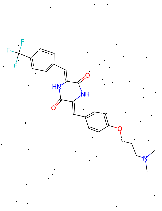 CN(C)CCCOc1ccc(C=c2[nH]c(=O)c(=Cc3ccc(C(F)(F)F)cc3)[nH]c2=O)cc1